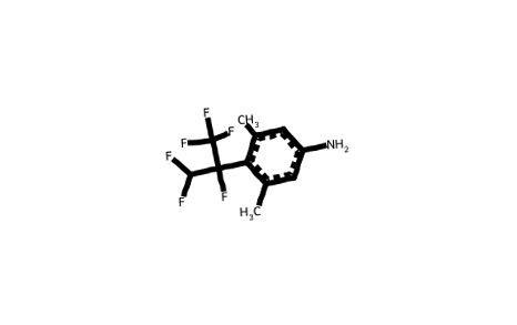 Cc1cc(N)cc(C)c1C(F)(C(F)F)C(F)(F)F